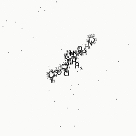 Cc1c(NC(=O)/C=C/CN2CCCCC2)cn2ncnc(Nc3ccc(OCc4cccc(F)c4)c(Cl)c3)c12